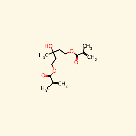 C=C(C)C(=O)OCCC(C)(O)CCOC(=O)C(=C)C